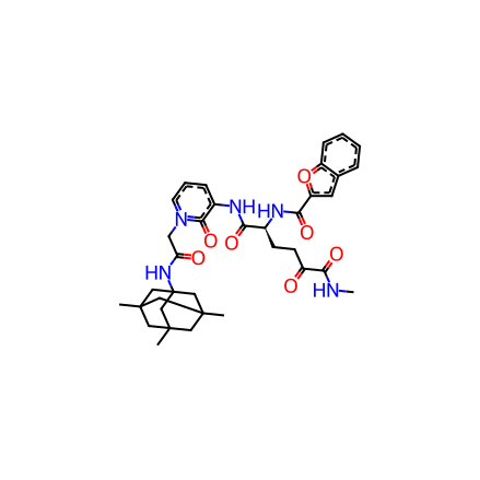 CNC(=O)C(=O)CC[C@H](NC(=O)c1cc2ccccc2o1)C(=O)Nc1cccn(CC(=O)NC23CC4(C)CC(C)(CC(C)(C4)C2)C3)c1=O